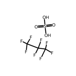 FC(F)(F)C(F)(F)C(F)(F)F.O=S(=O)(O)O